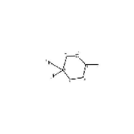 CC1CCC(F)(F)CO1